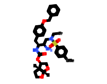 COc1ccc(S(=O)(=O)N(CC(C)C)C[C@@H](N)[C@H](Cc2ccc(OCc3ccccc3)cc2)NC(=O)O[C@H]2CO[C@H]3OCC[C@H]32)cc1